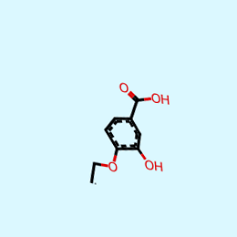 [CH2]COc1ccc(C(=O)O)cc1O